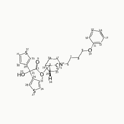 O=C(O[C@H]1C[N+]2(CCCCOc3ccccc3)CCC1CC2)C(O)(c1ccsc1)c1ccsc1